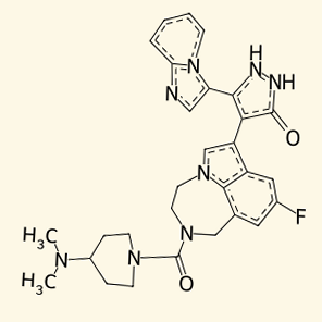 CN(C)C1CCN(C(=O)N2CCn3cc(-c4c(-c5cnc6ccccn56)[nH][nH]c4=O)c4cc(F)cc(c43)C2)CC1